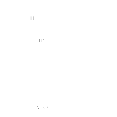 COc1ccc2c(c1)C[C@H](N[C@H](C)c1ccccc1)CCC2